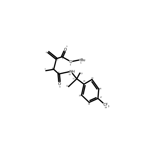 C=C(C(=O)OC(C)(C)C)C(C)C(=O)NC(C)(C)c1ccc(C(F)(F)F)cc1